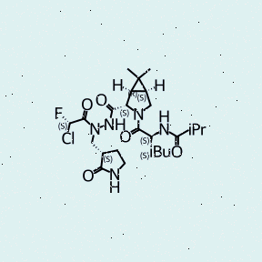 CC[C@H](C)[C@H](NC(=O)C(C)C)C(=O)N1C[C@H]2[C@@H]([C@H]1C(=O)NN(C[C@@H]1CCNC1=O)C(=O)[C@@H](F)Cl)C2(C)C